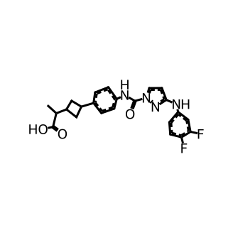 CC(C(=O)O)C1CC(c2ccc(NC(=O)n3ccc(Nc4ccc(F)c(F)c4)n3)cc2)C1